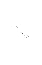 C/C(=C\CC[C@@H](C)[C@H]1CC[C@@]2(C)C3=CCC4C(C)(C)C(=O)CC[C@]4(C)C3=CC[C@]12C)CO